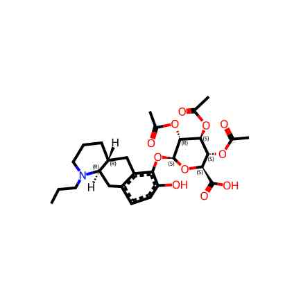 CCCN1CCC[C@@H]2Cc3c(ccc(O)c3O[C@@H]3O[C@H](C(=O)O)[C@@H](OC(C)=O)[C@H](OC(C)=O)[C@H]3OC(C)=O)C[C@H]21